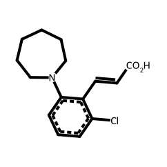 O=C(O)/C=C/c1c(Cl)cccc1N1CCCCCC1